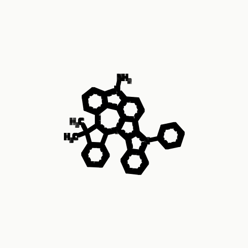 CC1(C)c2ccccc2-c2c1c1cccc3c1c1c(ccc4c5c(c6ccccc6n5-c5ccccc5)n2c41)n3N